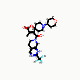 CC1=C(C(=O)N2CCc3cnc(C(F)(F)F)nc3C2)C2(CCN(C3CCOCC3)CC2)OC1=O